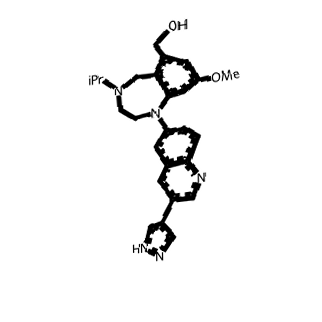 COc1cc(CO)c2c(c1)N(c1ccc3ncc(-c4cn[nH]c4)cc3c1)CCN(C(C)C)C2